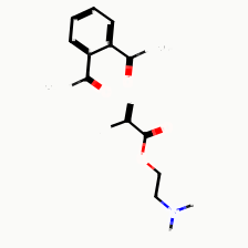 C=C(C)C(=O)OCCN(CC)CC.COC(=O)c1ccccc1C(=O)OC